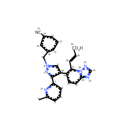 Cc1cccc(-c2nn(Cc3cccc(C#N)c3)cc2-c2ccc3ncnn3c2C=CC(=O)O)n1